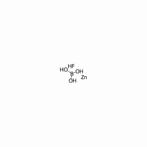 F.OB(O)O.[Zn]